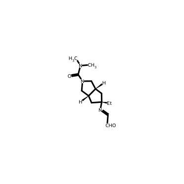 CC[C@]1(N=CC=O)C[C@H]2CN(C(=O)N(C)C)C[C@H]2C1